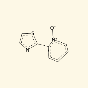 [O-][n+]1ccccc1-c1nccs1